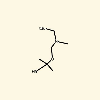 CN(COC(C)(C)S)CC(C)(C)C